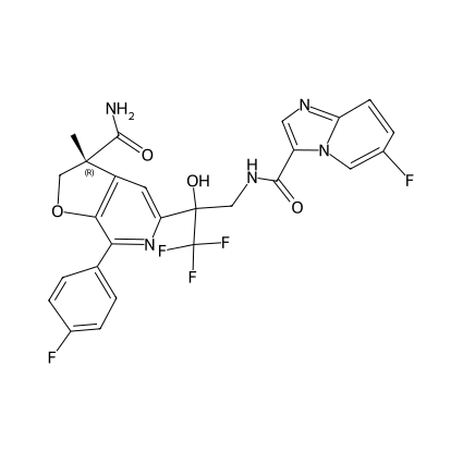 C[C@]1(C(N)=O)COc2c1cc(C(O)(CNC(=O)c1cnc3ccc(F)cn13)C(F)(F)F)nc2-c1ccc(F)cc1